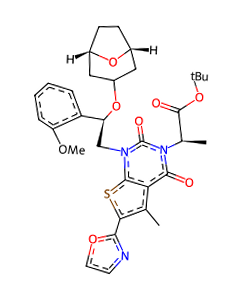 COc1ccccc1[C@H](Cn1c(=O)n([C@H](C)C(=O)OC(C)(C)C)c(=O)c2c(C)c(-c3ncco3)sc21)OC1C[C@H]2CC[C@@H](C1)O2